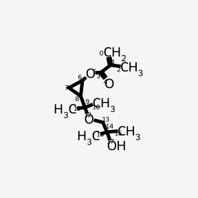 C=C(C)C(=O)OC1CC1C(C)(C)OCC(C)(C)O